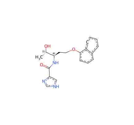 C[C@H](O)[C@@H](CCOc1cccc2ccccc12)NC(=O)c1c[nH]cn1